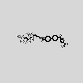 NNc1ccc(C(=O)C2CCCC(C3CCCC(C(=O)NCCCC[C@H](NC(=O)N[C@@H](CCC(=O)O)C(=O)O)C(=O)O)CCC3)CCC2)cn1